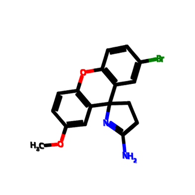 COc1ccc2c(c1)C1(CCC(N)=N1)c1cc(Br)ccc1O2